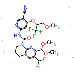 COCC(Oc1cc(NC(=O)N2CCCc3cc(C(F)F)c(C(OC)OC)nc32)ncc1C#N)C(F)(F)F